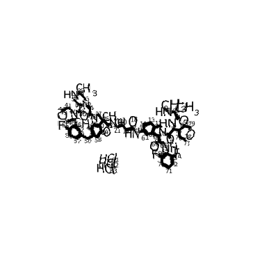 CNC(C)C(=O)NC(C(=O)N1Cc2ccc(NC(=O)CCCNC(=O)C3(C)CN(C(=O)CN4C[C@@H](C)NC[C@@H]4CN4CCOCC4C)c4cc(Cc5ccc(F)cc5)ccc43)cc2C1C(=O)Nc1c(F)cccc1F)C1CCOCC1.Cl.Cl.Cl